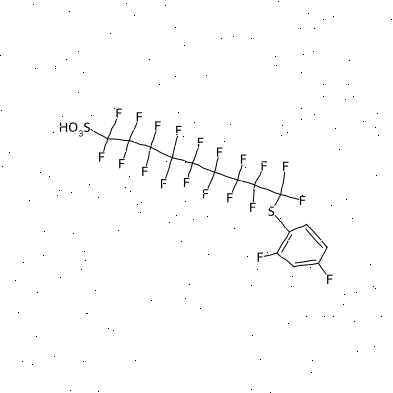 O=S(=O)(O)C(F)(F)C(F)(F)C(F)(F)C(F)(F)C(F)(F)C(F)(F)C(F)(F)C(F)(F)C(F)(F)Sc1ccc(F)cc1F